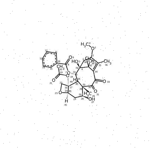 COC1C[C@@]2(O)[C@@H](OC(=O)c3ccccc3)[C@@H]3[C@]4(OC(C)=O)CO[C@@H]4C[C@H](O)[C@@]3(C)C(=O)C(=O)C(=C1C)C2(C)C